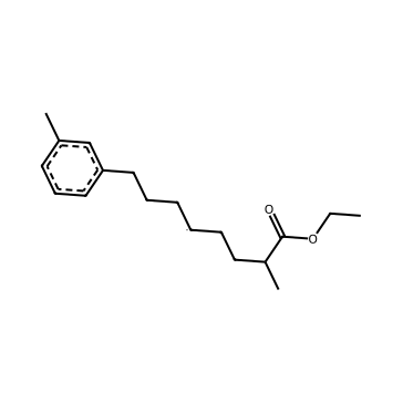 CCOC(=O)C(C)CC[CH]CCCc1cccc(C)c1